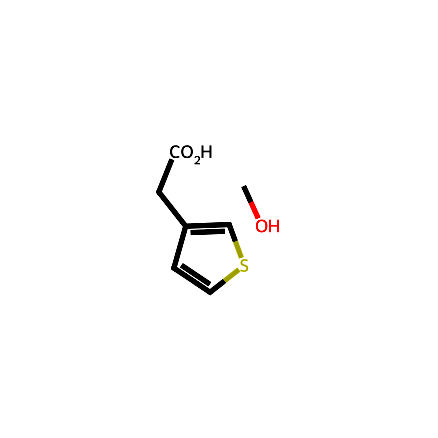 CO.O=C(O)Cc1ccsc1